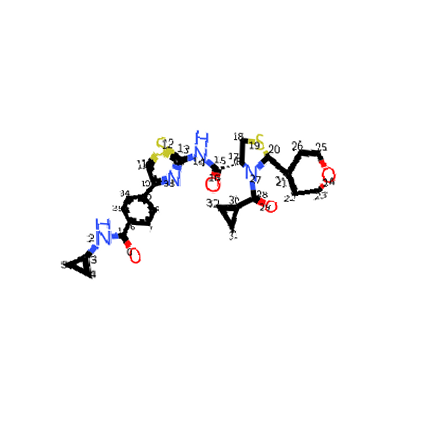 O=C(NC1CC1)c1ccc(-c2csc(NC(=O)[C@@H]3CSC(C4CCOCC4)N3C(=O)C3CC3)n2)cc1